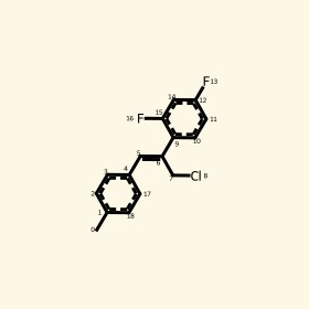 Cc1ccc(C=C(CCl)c2ccc(F)cc2F)cc1